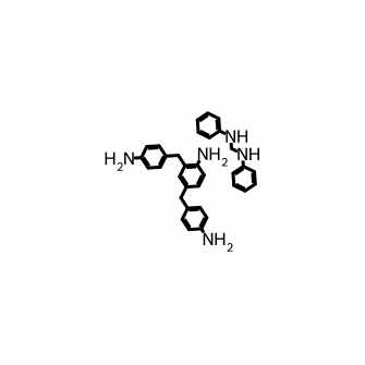 Nc1ccc(Cc2ccc(N)c(Cc3ccc(N)cc3)c2)cc1.c1ccc(NCNc2ccccc2)cc1